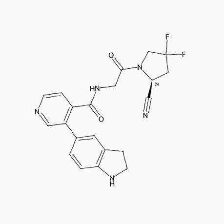 N#C[C@@H]1CC(F)(F)CN1C(=O)CNC(=O)c1ccncc1-c1ccc2c(c1)CCN2